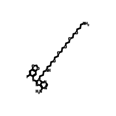 NCCCOCCOCCOCCOCCOCCCNCCCn1c(Sc2cc3c(cc2I)OCO3)nc2c(N)ncnc21